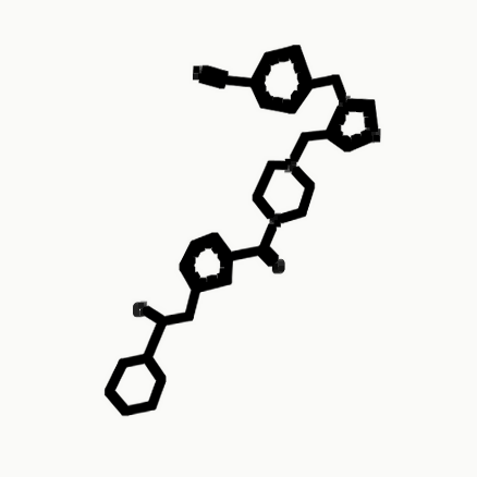 N#Cc1ccc(Cn2cncc2CN2CCN(C(=O)c3cccc(CC(Cl)C4CCCCC4)c3)CC2)cc1